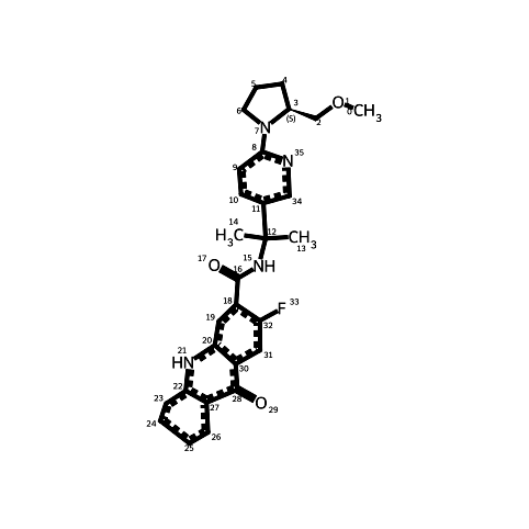 COC[C@@H]1CCCN1c1ccc(C(C)(C)NC(=O)c2cc3[nH]c4ccccc4c(=O)c3cc2F)cn1